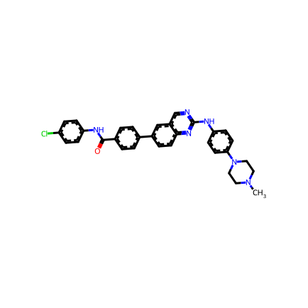 CN1CCN(c2ccc(Nc3ncc4cc(-c5ccc(C(=O)Nc6ccc(Cl)cc6)cc5)ccc4n3)cc2)CC1